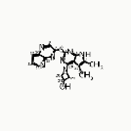 Cc1[nH]c2nc(Sc3cnc4cccnc4n3)nc(N3CC(O)C3)c2c1C